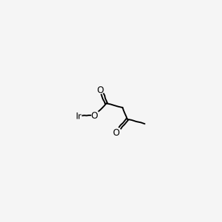 CC(=O)CC(=O)[O][Ir]